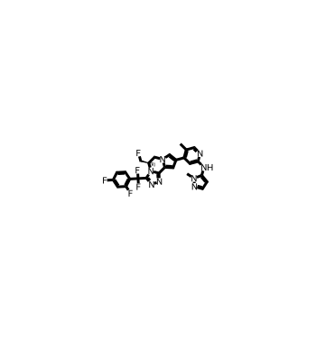 Cc1cnc(Nc2ccnn2C)cc1-c1cc2n(c1)C[C@H](CF)n1c-2nnc1C(F)(F)c1ccc(F)cc1F